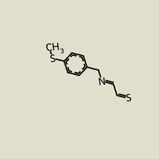 CSc1ccc(CN=CC=S)cc1